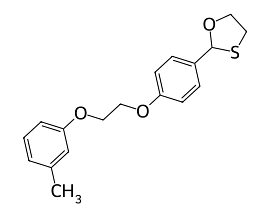 Cc1cccc(OCCOc2ccc(C3OCCS3)cc2)c1